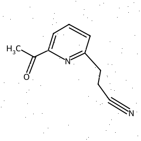 CC(=O)c1cccc(CCC#N)n1